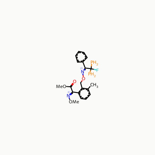 CO/N=C(/C(=O)OC)c1cccc(C)c1CO/N=C(/c1ccccc1)C(F)(P)P